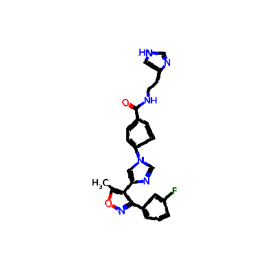 Cc1onc(-c2cccc(F)c2)c1-c1cn(-c2ccc(C(=O)NCCc3c[nH]cn3)cc2)cn1